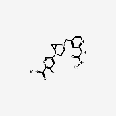 CCNC(=O)Nc1cc(CN2CCN(c3cnc(C(=O)NC)c(F)c3)C3CC32)ccn1